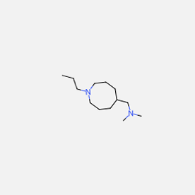 CCCN1CCCC(CN(C)C)CCC1